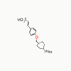 CCCCCC[C@H]1CC[C@@H](COc2ccc(C=CC(=O)O)cc2)CC1